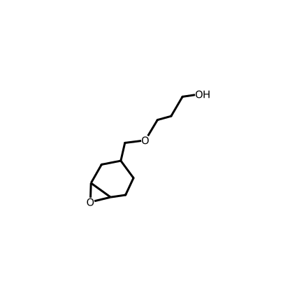 OCCCOCC1CCC2OC2C1